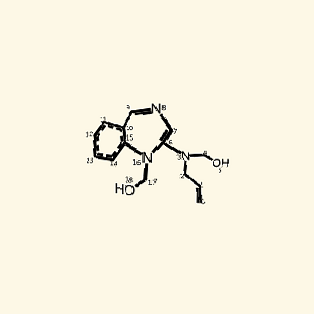 C=CCN(CO)C1=CN=Cc2ccccc2N1CO